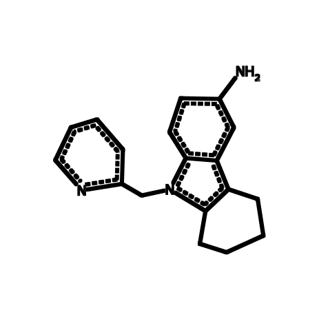 Nc1ccc2c(c1)c1c(n2Cc2ccccn2)CCCC1